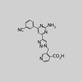 N#Cc1cccc(-c2cc(-c3cn(Cc4cnccc4C(=O)O)nn3)nc(N)n2)c1